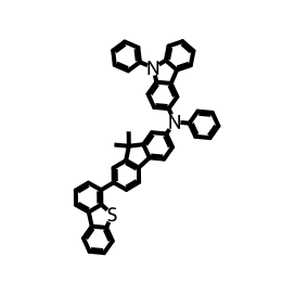 CC1(C)c2cc(-c3cccc4c3sc3ccccc34)ccc2-c2ccc(N(c3ccccc3)c3ccc4c(c3)c3ccccc3n4-c3ccccc3)cc21